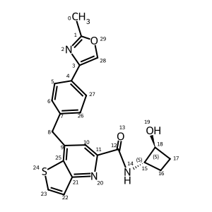 Cc1nc(-c2ccc(Cc3cc(C(=O)N[C@H]4CC[C@@H]4O)nc4ccsc34)cc2)co1